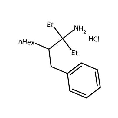 CCCCCCC(Cc1ccccc1)C(N)(CC)CC.Cl